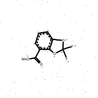 COC(=O)c1cccc2c1OC(F)(F)O2